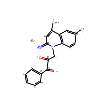 Br.CCc1ccc2c(c1)c(OC)cc(=N)n2CC(=O)C(=O)c1ccccc1